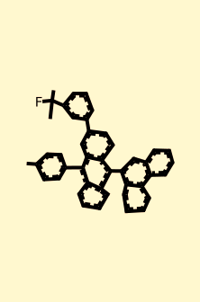 Cc1ccc(-c2c3ccccc3c(-c3cc4ccccc4c4ccccc34)c3ccc(-c4cccc(C(C)(C)F)c4)cc23)cc1